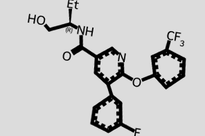 CC[C@H](CO)NC(=O)c1cnc(Oc2cccc(C(F)(F)F)c2)c(-c2cccc(F)c2)c1